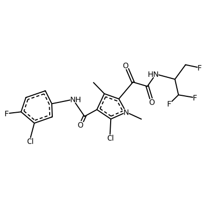 Cc1c(C(=O)Nc2ccc(F)c(Cl)c2)c(Cl)n(C)c1C(=O)C(=O)NC(CF)C(F)F